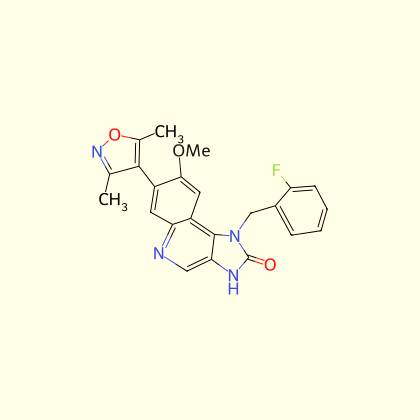 COc1cc2c(cc1-c1c(C)noc1C)ncc1[nH]c(=O)n(Cc3ccccc3F)c12